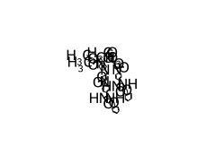 CC(C)OC(=O)C(C)N1CCN(CC2CN(c3ccc(C(=N)NC(=O)Oc4ccccc4)cc3)C(=O)O2)CC1.CS(=O)(=O)OCC1CN(c2ccc(C(=N)NC(=O)Oc3ccccc3)cc2)C(=O)O1